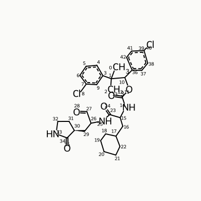 CC(C)(c1cccc(Cl)c1)C(OC(=O)NC(CC1CCCCC1)C(=O)NC(C=O)C[C@@H]1CCNC1=O)c1ccc(Cl)cc1